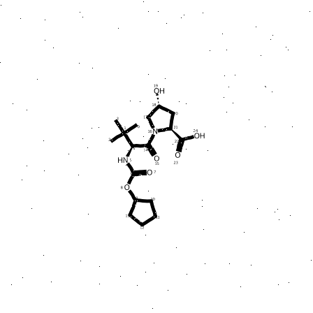 CC(C)(C)[C@H](NC(=O)OC1CCCC1)C(=O)N1C[C@H](O)C[C@H]1C(=O)O